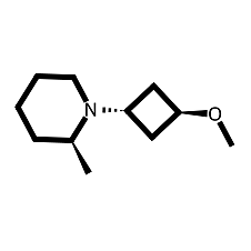 CO[C@H]1C[C@H](N2CCCC[C@@H]2C)C1